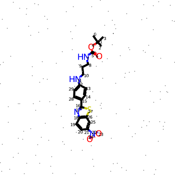 CC(C)(C)OC(=O)NCCCNc1ccc(-c2nc3ccc([N+](=O)[O-])cc3s2)cc1